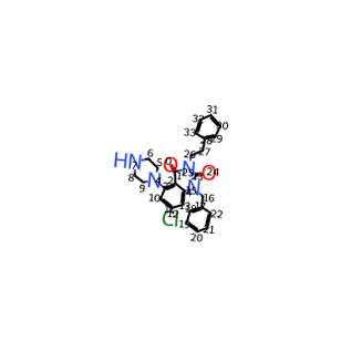 O=c1c2c(N3CCNCC3)cc(Cl)cc2n(Cc2ccccc2)c(=O)n1CCc1ccccc1